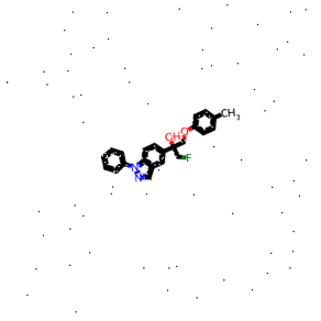 Cc1ccc(OCC(O)(CF)c2ccc3c(cnn3-c3ccccc3)c2)cc1